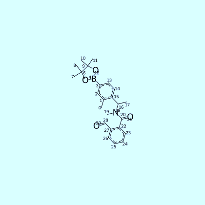 Cc1cc(B2OC(C)(C)C(C)(C)O2)ccc1C(C)N(C)C(=O)c1ccccc1C=O